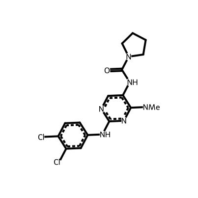 CNc1nc(Nc2ccc(Cl)c(Cl)c2)ncc1NC(=O)N1CCCC1